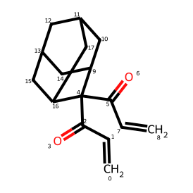 C=CC(=O)C1(C(=O)C=C)C2CC3CC(C2)CC1C3